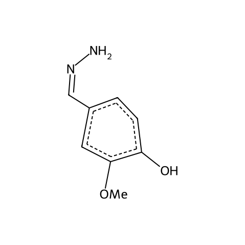 COc1cc(/C=N\N)ccc1O